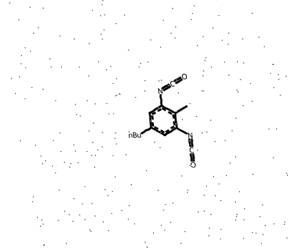 CCCCc1cc(N=C=O)c(C)c(N=C=O)c1